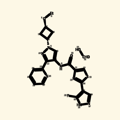 CCO[C@H]1C[C@H](n2cc(NC(=O)c3csc(-c4cn[nH]c4F)n3)c(-c3ccccn3)n2)C1.O=CO